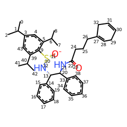 CC(C)c1cc(C(C)C)c([S+]([O-])N[C@@H](c2ccccc2)[C@@H](NC(=O)CCCC2=CCC=CC2)c2ccccc2)c(C(C)C)c1